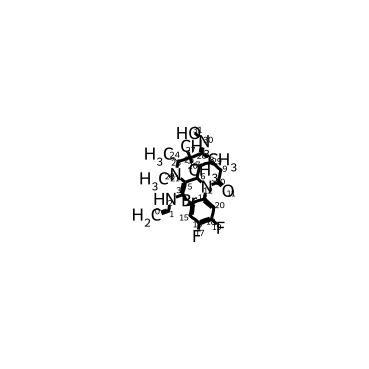 C=CN/C(Br)=C(/C1CCCC(=O)N1c1ccc(F)c(F)c1)N(C)[C@H](C)C(C)(C)/C(C)=N\O